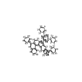 c1ccc(-c2nc(-c3ccccc3)nc(-n3c4cc5c(cnn5-c5ccccc5)cc4c4c5c(ccc43)c(-c3ccccc3)cc3ccccc35)n2)cc1